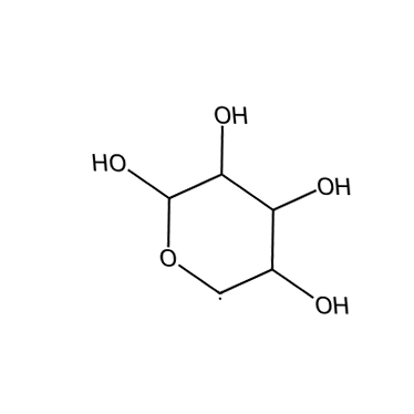 OC1[CH]OC(O)C(O)C1O